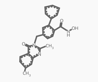 Cc1ccc2c(=O)n(Cc3ccc(C(=O)NO)c(-c4ccccc4)c3)c(C)nc2c1